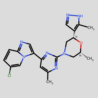 Cc1cc(-c2cnc3ccc(Cl)cn23)nc(N2C[C@@H](C)O[C@@H](c3cn[nH]c3C)C2)n1